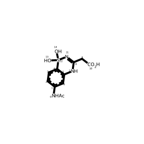 CC(=O)Nc1ccc2c(c1)NC(CC(=O)O)=NS2(O)O